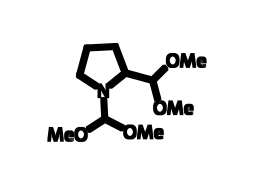 COC(OC)C1CCCN1C(OC)OC